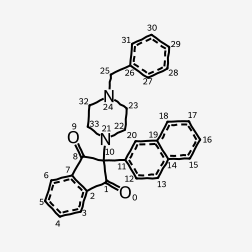 O=C1c2ccccc2C(=O)C1(c1ccc2ccccc2c1)N1CCN(Cc2ccccc2)CC1